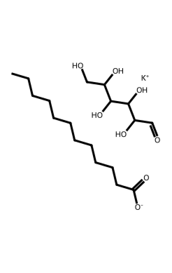 CCCCCCCCCCCC(=O)[O-].O=CC(O)C(O)C(O)C(O)CO.[K+]